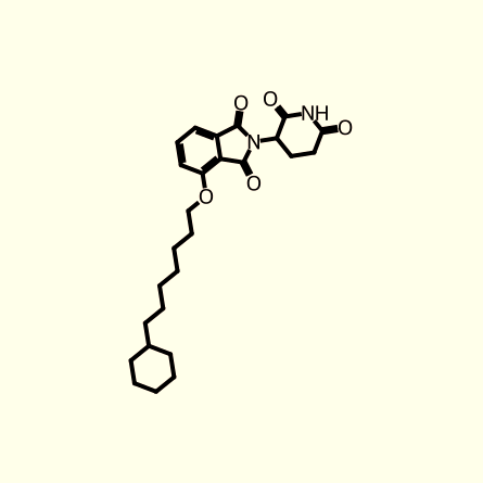 O=C1CCC(N2C(=O)c3cccc(OCCCCCCCC4CCCCC4)c3C2=O)C(=O)N1